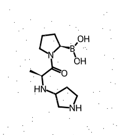 C[C@H](NC1CCNC1)C(=O)N1CCC[C@H]1B(O)O